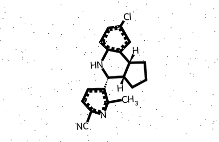 Cc1nc(C#N)ccc1[C@@H]1Nc2ccc(Cl)cc2[C@@H]2CCC[C@@H]21